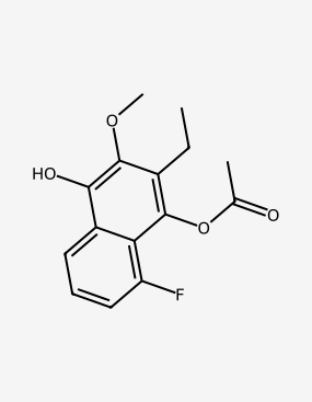 CCc1c(OC)c(O)c2cccc(F)c2c1OC(C)=O